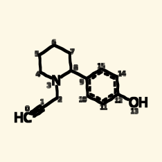 C#CCN1CCCCC1c1ccc(O)cc1